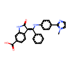 Cn1ccnc1-c1ccc(N/C(=C2\C(=O)Nc3cc(C(=O)O)ccc32)c2ccccc2)cc1